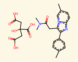 Cc1ccc(-c2nc3ccc(C)cn3c2CC(=O)N(C)C)cc1.O=C(O)CC(O)(CC(=O)O)C(=O)O